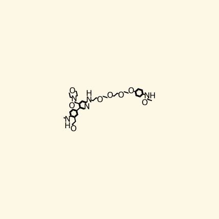 CNc1ccc(-c2cnc(NCCOCCOCCOCCOc3ccc(NC(C)=O)cc3)cc2C(=O)N2CCOCC2)cc1CC=O